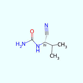 CC(C)[C@@H](C#N)NC(N)=O